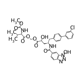 COC(=O)N[C@@H](C(=O)OCOC(=O)C(O)C[C@@H](Cc1ccc(-c2cccc(Cl)c2)cc1)NC(=O)c1ccc2nnn(O)c2c1)C(C)C